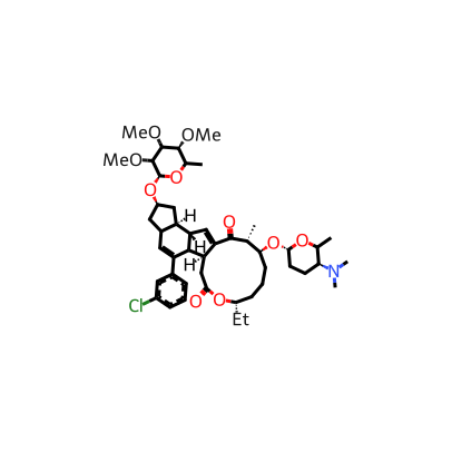 CC[C@H]1CCC[C@H](O[C@H]2CC[C@H](N(C)C)C(C)O2)[C@@H](C)C(=O)C2=C[C@@H]3C(C(c4cccc(Cl)c4)=CC4C[C@@H](O[C@@H]5OC(C)[C@H](OC)C(OC)C5OC)C[C@H]43)[C@@H]2CC(=O)O1